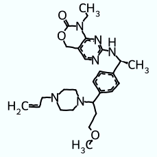 C=CCN1CCN(C(CCOC)c2ccc([C@H](C)Nc3ncc4c(n3)N(CC)C(=O)OC4)cc2)CC1